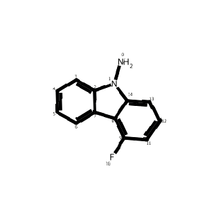 Nn1c2ccccc2c2c(F)cccc21